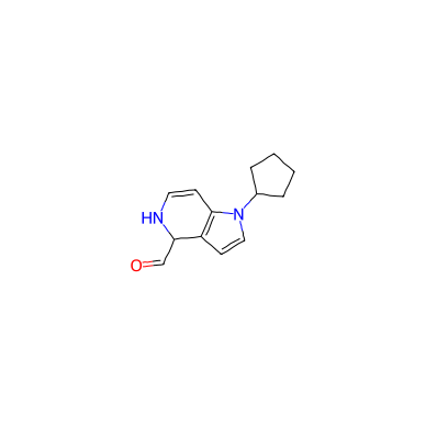 O=CC1NC=Cc2c1ccn2C1CCCC1